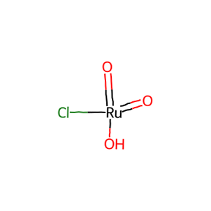 [O]=[Ru](=[O])([OH])[Cl]